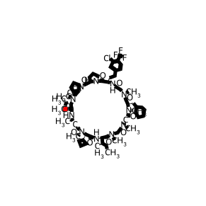 CC[C@H](C)[C@@H]1NC(=O)[C@H](C2CCC2)N(C)C(=O)C[C@@H](C)NC(=O)[C@H](C(C)C)N(C)C(=O)C2(CCCC2)NC(=O)[C@@H]2CCCN2C(=O)[C@H](CCc2ccc(C(F)(F)F)c(Cl)c2)NC(=O)CN(C)C(=O)[C@H](CC2CCCCC2)N(C)C(=O)CN(C)C(=O)CN(C)C1=O